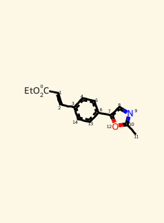 CCOC(=O)/C=C/c1ccc(-c2cnc(C)o2)cc1